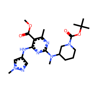 COC(=O)c1c(C)nc(N(C)C2CCCN(C(=O)OC(C)(C)C)C2)nc1Nc1cnn(C)c1